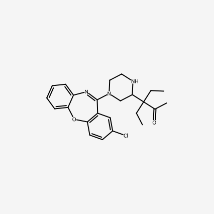 CCC(CC)(C(C)=O)C1CN(C2=Nc3ccccc3Oc3ccc(Cl)cc32)CCN1